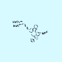 COc1ccc(CC/C=C/C2CC3CCC(C(=O)c4ccco4)c4ccc(CN=[N+]=[N-])cc4C(=O)C3C(C3CCCCC3)C2)cc1OC